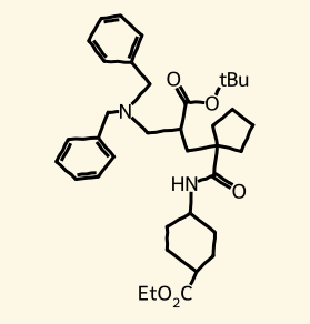 CCOC(=O)C1CCC(NC(=O)C2(CC(CN(Cc3ccccc3)Cc3ccccc3)C(=O)OC(C)(C)C)CCCC2)CC1